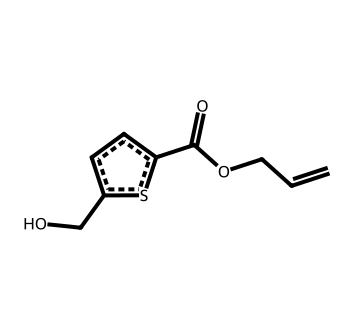 C=CCOC(=O)c1ccc(CO)s1